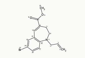 C=CCN1CCC(C(=O)OC)=Cc2cc(Br)ccc21